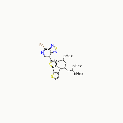 CCCCCCC(CCCCCC)CC(CC(CCCCCC)CCCCCC)=C1c2ccsc2-c2sc(-c3cnc(Br)c4nsnc34)cc21